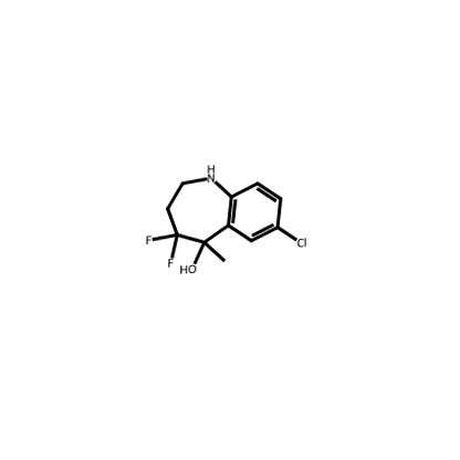 CC1(O)c2cc(Cl)ccc2NCCC1(F)F